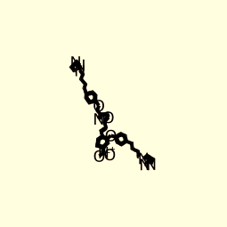 O=[N+]([O-])c1ccc(C=Cc2nc(COc3ccc(CCCCn4ccnn4)cc3)co2)c(Oc2ccc(CCCCn3ccnn3)cc2)c1